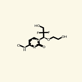 O=c1nc(NCl)ccn1[C@H](OCCO)C(F)(F)CO